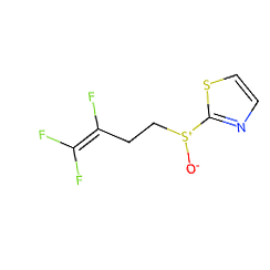 [O-][S+](CCC(F)=C(F)F)c1nccs1